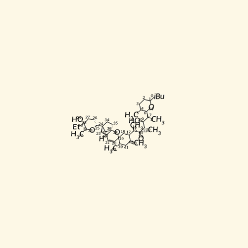 CCC(C)C1CCC(C)[C@H](C(C)C(O)[C@H](C)C(=O)[C@H](C)C2CC3(C=C[C@H]4C[C@@]5([C@H]6CCC(O)(CC)[C@H](C)O6)CC[C@]4(C5)O3)C(C)CC2C)O1